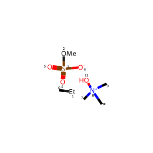 CCC.COS(=O)(=O)[O-].C[N+](C)(C)O